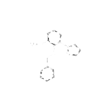 COc1cccc(-n2cccn2)c1SCc1ccccc1